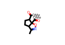 COC(=O)C1CCC2C(C)=NOC12C(=O)OC